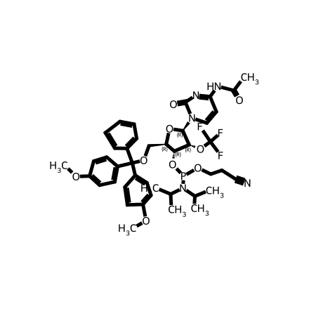 COc1ccc(C(OC[C@H]2O[C@@H](n3ccc(NC(C)=O)nc3=O)[C@H](OC(F)(F)F)[C@@H]2OP(OCCC#N)N(C(C)C)C(C)C)(c2ccccc2)c2ccc(OC)cc2)cc1